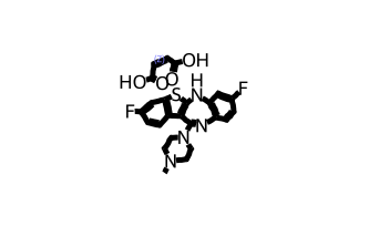 CN1CCN(C2=Nc3ccc(F)cc3Nc3sc4cc(F)ccc4c32)CC1.O=C(O)/C=C\C(=O)O